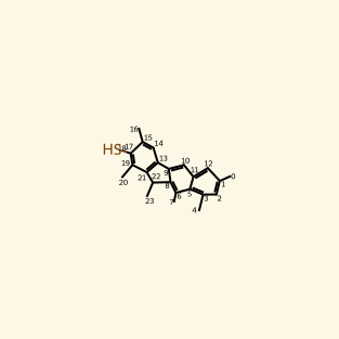 Cc1cc(C)c2c(C)c3c(cc2c1)-c1cc(C)c(S)c(C)c1C3C